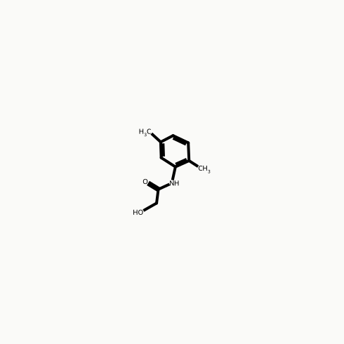 Cc1ccc(C)c(NC(=O)CO)c1